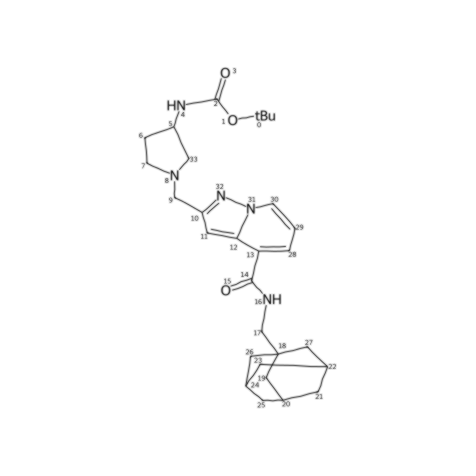 CC(C)(C)OC(=O)NC1CCN(Cc2cc3c(C(=O)NCC45CC6CC(CC(C6)C4)C5)cccn3n2)C1